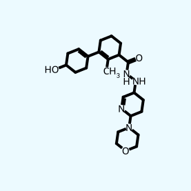 CC1=C(C2=CCC(O)CC2)CCCC1C(=O)NNC1C=NC(N2CCOCC2)CC1